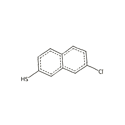 Sc1ccc2ccc(Cl)cc2c1